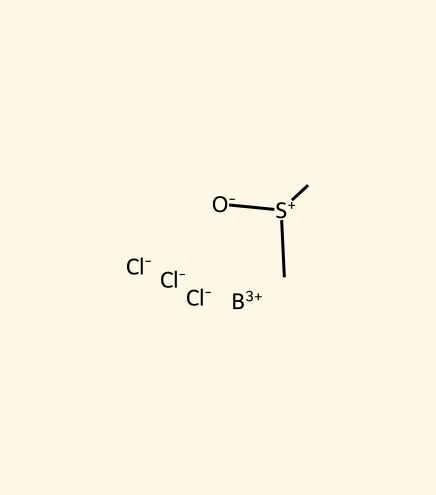 C[S+](C)[O-].[B+3].[Cl-].[Cl-].[Cl-]